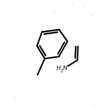 C=CN.Cc1ccccc1